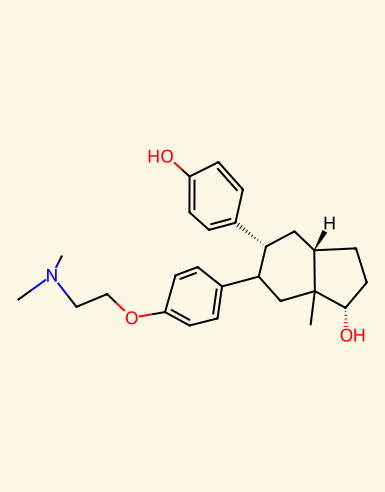 CN(C)CCOc1ccc(C2CC3(C)[C@@H](CC[C@@H]3O)C[C@H]2c2ccc(O)cc2)cc1